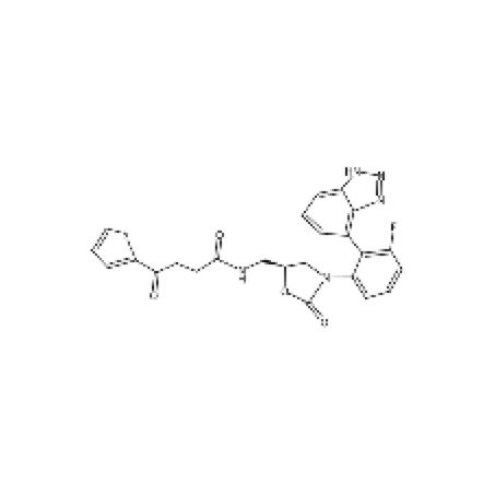 O=C(CCC(=O)c1cccs1)NC[C@H]1CN(c2cccc(F)c2-c2cccc3[nH]nnc23)C(=O)O1